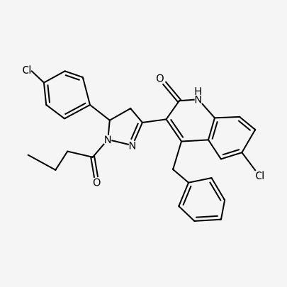 CCCC(=O)N1N=C(c2c(Cc3ccccc3)c3cc(Cl)ccc3[nH]c2=O)CC1c1ccc(Cl)cc1